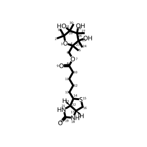 CC1(C)OC(C)(COC(=O)CCCCC2SC[C@@H]3NC(=O)N[C@H]23)C(C)(O)C(C)(O)C1(C)O